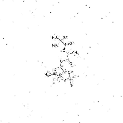 CCC(C)(C)C(=O)OC(C)C(=O)OC1C2OS(=O)(=O)C3CC1C(C)(C)C23